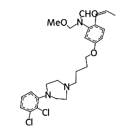 C/C=C\c1ccc(OCCCCN2CCN(c3cccc(Cl)c3Cl)CC2)cc1N(C=O)COC